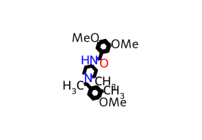 COc1cc(OC)cc(C(=O)NC2CCN(C(C)c3ccc(OC)c(C)c3C)CC2)c1